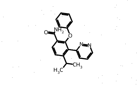 CC(C)c1ccc(C(N)=O)c(Oc2ccccc2)c1-c1cccnn1